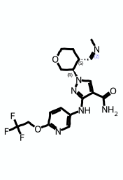 C/N=C\[C@H]1CCOC[C@@H]1n1cc(C(N)=O)c(Nc2ccc(OCC(F)(F)F)nc2)n1